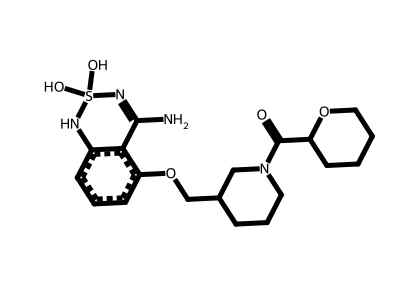 NC1=NS(O)(O)Nc2cccc(OCC3CCCN(C(=O)C4CCCCO4)C3)c21